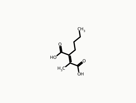 CCCCC(C(=O)O)=C(C)C(=O)O